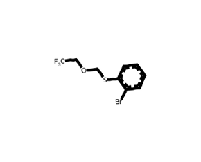 FC(F)(F)COCSc1ccccc1Br